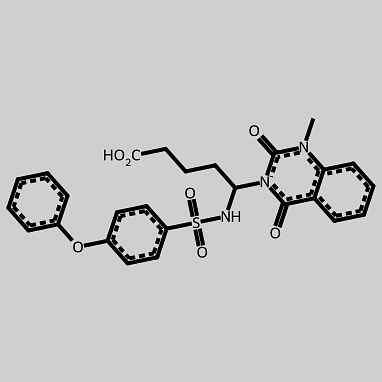 Cn1c(=O)n(C(CCCC(=O)O)NS(=O)(=O)c2ccc(Oc3ccccc3)cc2)c(=O)c2ccccc21